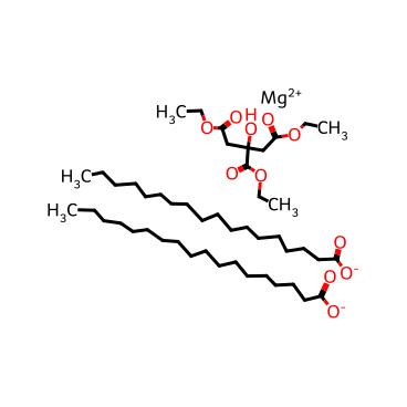 CCCCCCCCCCCCCCCCCC(=O)[O-].CCCCCCCCCCCCCCCCCC(=O)[O-].CCOC(=O)CC(O)(CC(=O)OCC)C(=O)OCC.[Mg+2]